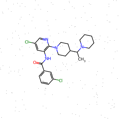 CC(C1CCN(c2ncc(Cl)cc2NC(=O)c2cccc(Cl)c2)CC1)N1CCCCC1